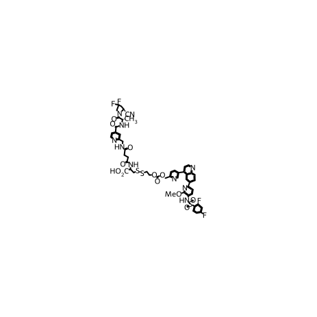 COc1nc(-c2ccc3nccc(-c4ccc(COC(=O)OCCSSCC(NC(=O)CCC(=O)NCc5cc(C(=O)N[C@@H](C)C(=O)N6CC(F)(F)C[C@H]6C#N)ccn5)C(=O)O)nc4)c3c2)ccc1NS(=O)(=O)c1ccc(F)cc1F